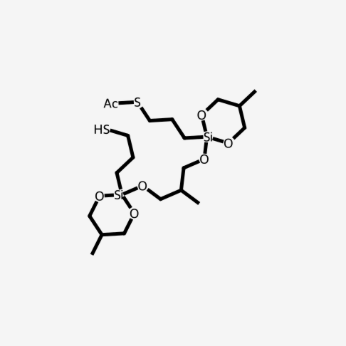 CC(=O)SCCC[Si]1(OCC(C)CO[Si]2(CCCS)OCC(C)CO2)OCC(C)CO1